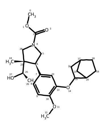 COC(=O)N1C[C@@H](c2ccc(OC)c(OC3CC4CCC3C4)c2)[C@](C)([C@@H](C)O)C1